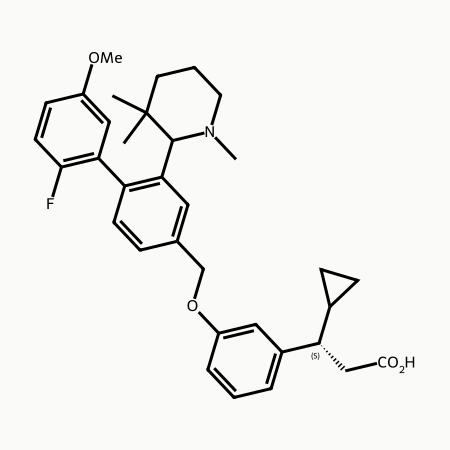 COc1ccc(F)c(-c2ccc(COc3cccc([C@@H](CC(=O)O)C4CC4)c3)cc2C2N(C)CCCC2(C)C)c1